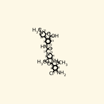 COc1cc(N)c(Cl)cc1C(=O)N[C@@H]1CCN(CC(=O)Nc2ccc(C(=O)O)c(C3CCN(C)CC3)c2)C[C@@H]1OC